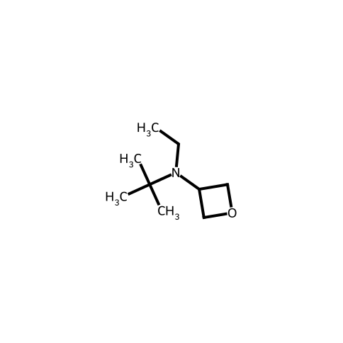 CCN(C1COC1)C(C)(C)C